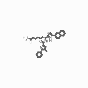 Cc1cc(C(=O)N[C@@H](CCCCCC(N)=O)c2ncc(-c3ccc4ccccc4c3)[nH]2)nn1-c1ccccc1